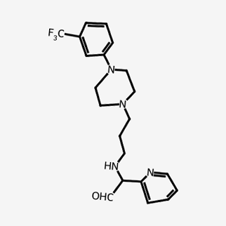 O=CC(NCCCN1CCN(c2cccc(C(F)(F)F)c2)CC1)c1ccccn1